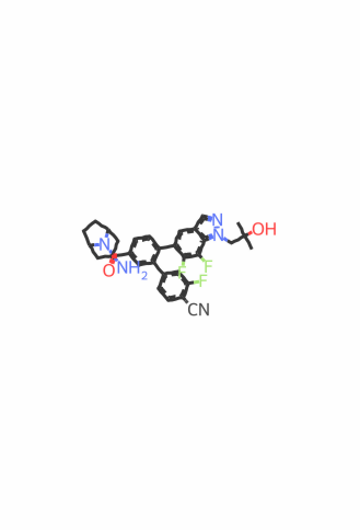 CC(C)(O)Cn1ncc2cc(-c3ccc(C(=O)N4C5CCC4CC(N)C5)cc3-c3ccc(C#N)c(F)c3)c(F)c(F)c21